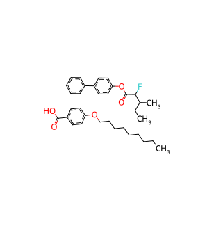 CCC(C)C(F)C(=O)Oc1ccc(-c2ccccc2)cc1.CCCCCCCCCOc1ccc(C(=O)O)cc1